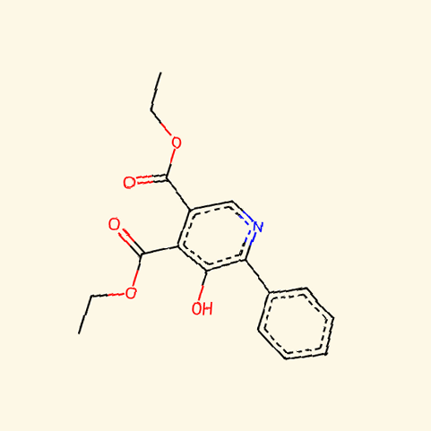 CCOC(=O)c1cnc(-c2ccccc2)c(O)c1C(=O)OCC